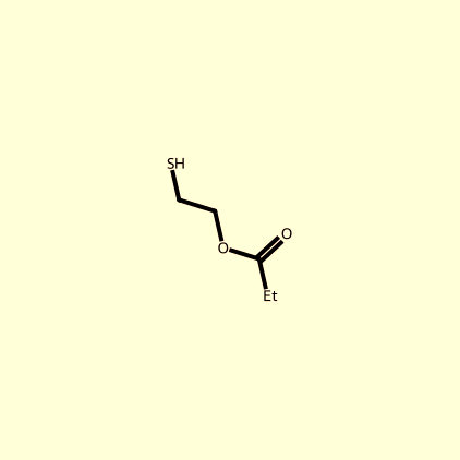 [CH2]CC(=O)OCCS